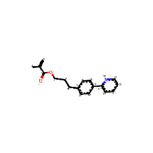 C=C(C)C(=O)OCCCc1ccc(-c2ccccn2)cc1